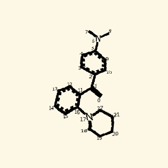 C=C(c1ccc(N(C)C)cc1)c1ccccc1N1CCCCC1